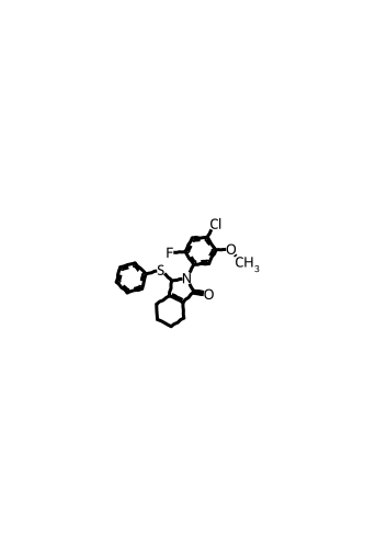 COc1cc(N2C(=O)C3=C(CCCC3)C2Sc2ccccc2)c(F)cc1Cl